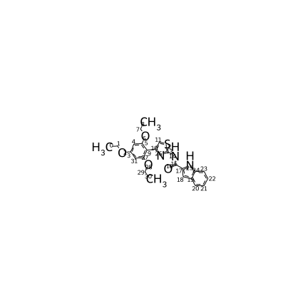 CCOc1cc(OCC)c(-c2csc(NC(=O)c3cc4ccccc4[nH]3)n2)c(OCC)c1